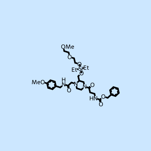 CC[Si](CC)(OCCOCCOC)OCC1CN(C(=O)CCNC(=O)OCc2ccccc2)CCN1CC(=O)NCc1ccc(OC)cc1